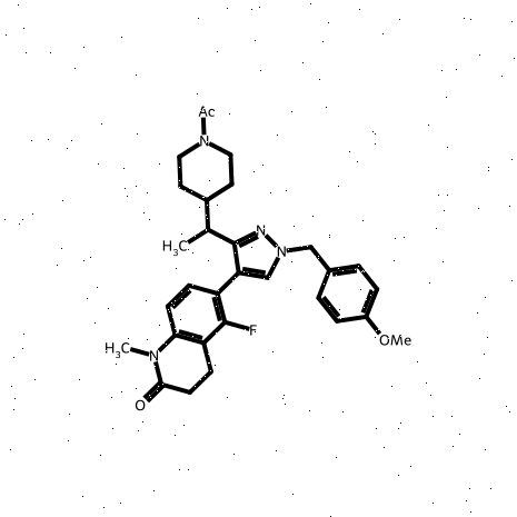 COc1ccc(Cn2cc(-c3ccc4c(c3F)CCC(=O)N4C)c(C(C)C3CCN(C(C)=O)CC3)n2)cc1